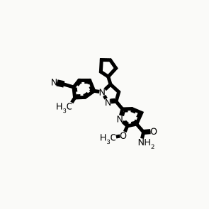 COc1nc(C2=NN(c3ccc(C#N)c(C)c3)C(C3CCCC3)C2)ccc1C(N)=O